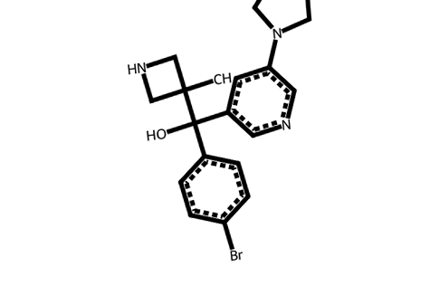 CC1(C(O)(c2ccc(Br)cc2)c2cncc(N3CCCC3)c2)CNC1